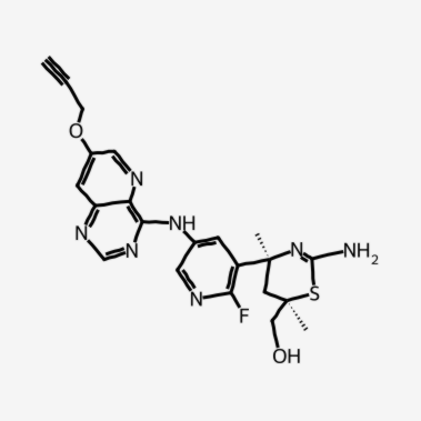 C#CCOc1cnc2c(Nc3cnc(F)c([C@]4(C)C[C@](C)(CO)SC(N)=N4)c3)ncnc2c1